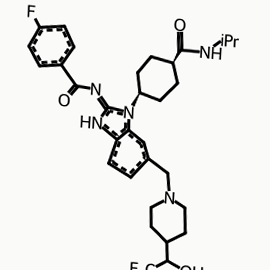 CC(C)NC(=O)[C@H]1CC[C@@H](n2/c(=N/C(=O)c3ccc(F)cc3)[nH]c3ccc(CN4CCC(C(O)C(F)(F)F)CC4)cc32)CC1